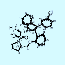 C=CS(=O)(=O)N1CCC[C@H]1COc1cnccc1-c1[nH]c2cccnc2c1-c1cccc(Cl)c1